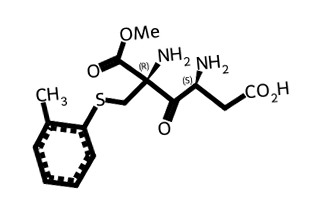 COC(=O)[C@@](N)(CSc1ccccc1C)C(=O)[C@@H](N)CC(=O)O